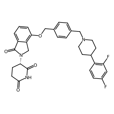 O=C1CC[C@H](N2Cc3c(OCc4ccc(CN5CCC(c6ccc(F)cc6F)CC5)cc4)cccc3C2=O)C(=O)N1